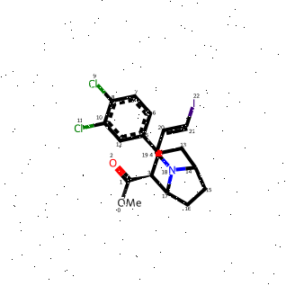 COC(=O)[C@H]1C(c2ccc(Cl)c(Cl)c2)CC2CCC1N2C/C=C/I